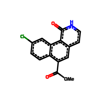 COC(=O)c1cc2cc[nH]c(=O)c2c2cc(Cl)ccc12